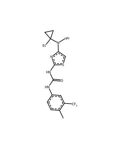 CCCN(c1csc(NC(=O)Nc2ccc(C)c(C(F)(F)F)c2)n1)C1(CC)CC1